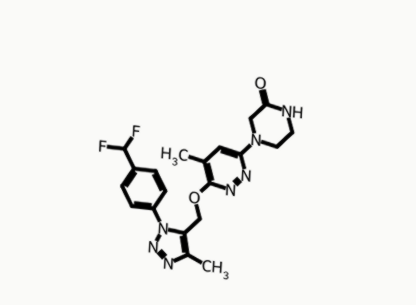 Cc1cc(N2CCNC(=O)C2)nnc1OCc1c(C)nnn1-c1ccc(C(F)F)cc1